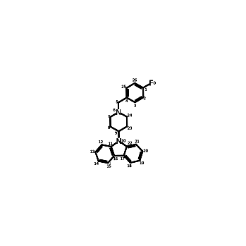 Fc1ccc(CN2CCC(n3c4ccc[c]c4c4ccccc43)CC2)cc1